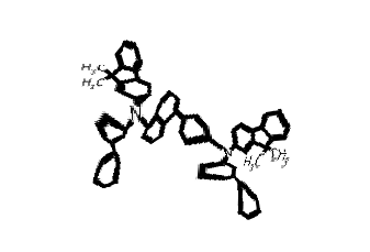 CC1(C)c2ccccc2-c2ccc(N(c3ccc(-c4cccc5c(N(c6cccc(-c7ccccc7)c6)c6ccc7c(c6)C(C)(C)c6ccccc6-7)cccc45)cc3)c3cccc(-c4ccccc4)c3)cc21